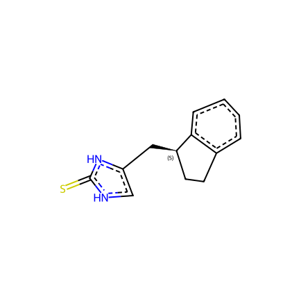 S=c1[nH]cc(C[C@@H]2CCc3ccccc32)[nH]1